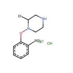 CCC1CNCCN1Oc1ccccc1[N+](=O)[O-].Cl.Cl